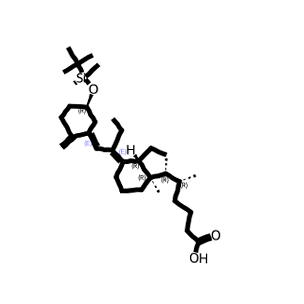 C=C1CC[C@@H](O[Si](C)(C)C(C)(C)C)C/C1=C\C(CC)=C1/CCC[C@]2(C)[C@@H]([C@H](C)CCCC(=O)O)CC[C@@H]12